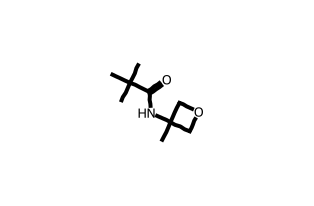 CC1(NC(=O)C(C)(C)C)COC1